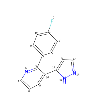 Fc1ccc(-c2ncccc2-c2ccn[nH]2)cc1